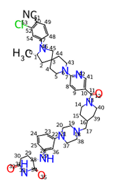 C[C@H]1CC2(CCN(c3ccc(C(=O)N4CCC(CN5CCN(c6cccc(N[C@H]7CCC(=O)NC7=O)c6)CC5)CC4)cn3)CC2)CN1c1ccc(C#N)c(Cl)c1